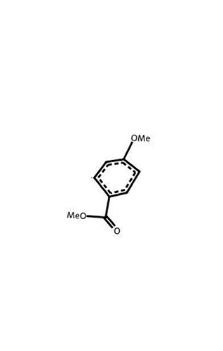 COC(=O)c1[c]cc(OC)cc1